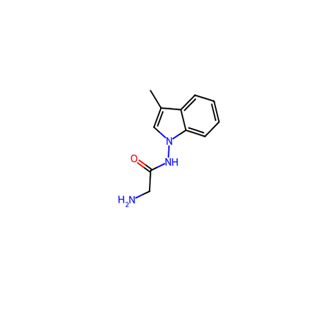 Cc1cn(NC(=O)CN)c2ccccc12